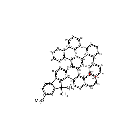 COc1ccc2c(c1)C(C)(C)c1c-2cccc1-c1ccc2ccccc2c1-c1nc(-c2ccccc2-c2ccccc2)nc(-c2ccccc2-c2ccccc2)n1